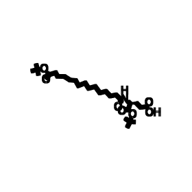 CC(C)(C)OC(=O)CCCCCCCCCCCCCC(=O)N[C@@H](CCC(=O)O)C(=O)OC(C)(C)C